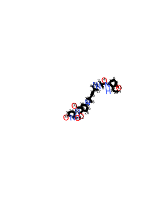 CC(C)(C(=O)Nc1cccc2c1CCCO2)n1cc(C#CC2CN(c3ccc4c(c3)C(=O)N(C3CCC(=O)NC3=O)C4=O)C2)cn1